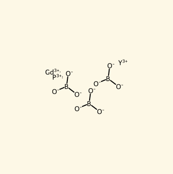 [Gd+3].[O-]B([O-])[O-].[O-]B([O-])[O-].[O-]B([O-])[O-].[P+3].[Y+3]